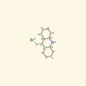 BrCc1c2ccccc2nc2ccccc12